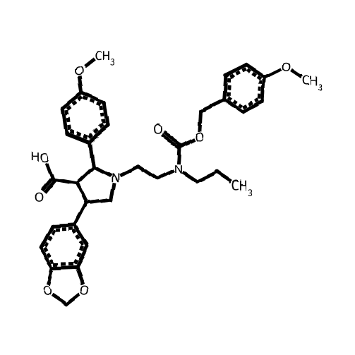 CCCN(CCN1CC(c2ccc3c(c2)OCO3)C(C(=O)O)C1c1ccc(OC)cc1)C(=O)OCc1ccc(OC)cc1